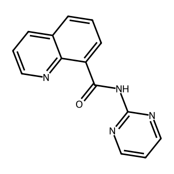 O=C(Nc1ncccn1)c1cccc2cccnc12